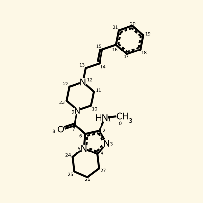 CNc1nc2n(c1C(=O)N1CCN(CC=Cc3ccccc3)CC1)CCCC2